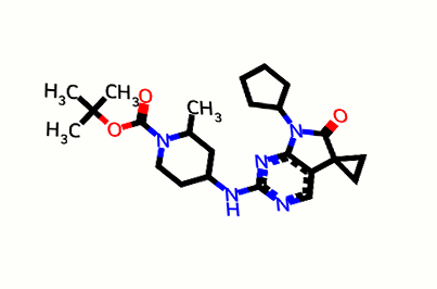 CC1CC(Nc2ncc3c(n2)N(C2CCCC2)C(=O)C32CC2)CCN1C(=O)OC(C)(C)C